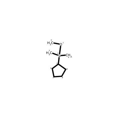 CO[Si](C)(C)C1CCCC1